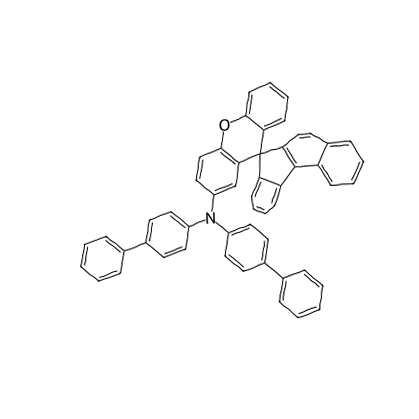 c1ccc(-c2ccc(N(c3ccc(-c4ccccc4)cc3)c3ccc4c(c3)C3(c5ccccc5O4)c4ccccc4-c4c3ccc3ccccc43)cc2)cc1